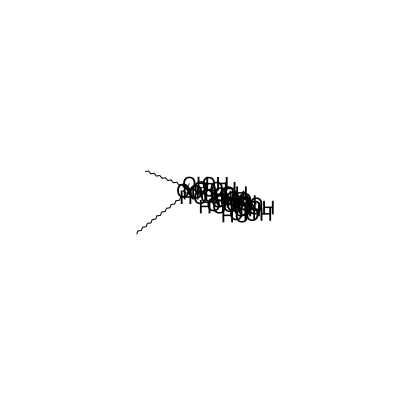 CCCCCCCCCCCCC/C=C/[C@@H](O)[C@H](CO[C@@H]1OC(CO)[C@@H](O[C@@H]2OC(CO)[C@H](O)[C@H](O[C@H]3OC(CO)[C@H](O)[C@H](O[C@@H]4OC(CO)[C@H](O)[C@H](O[C@H]5OC(CO)[C@H](O)[C@H](O)C5NC(C)=O)C4NC(C)=O)C3O)C2O)[C@H](O)C1O)NC(=O)CCCCCCCCCCCCCCCCCCCCC